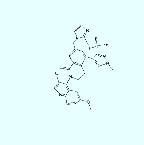 COc1ccc2ncc(Cl)c(N3CCc4c(cc(Cn5ccnc5C)cc4-c4cn(C)nc4C(F)(F)F)C3=O)c2c1